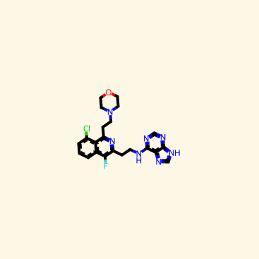 Fc1c(CCNc2ncnc3[nH]cnc23)nc(CCN2CCOCC2)c2c(Cl)cccc12